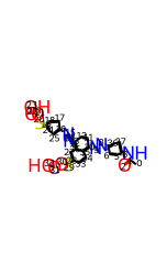 CC(=O)Nc1ccc(N=Nc2ccc(N=Nc3ccc(SOOO)cc3)c3cc(SOOO)ccc23)cc1